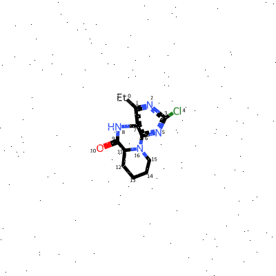 CCc1nc(Cl)nc2c1NC(=O)C1CCCCN21